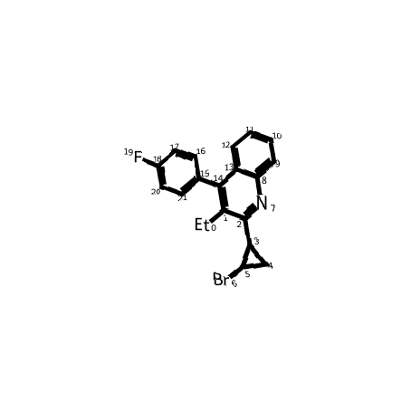 CCc1c(C2CC2Br)nc2ccccc2c1-c1ccc(F)cc1